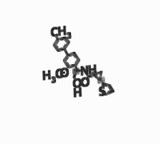 COc1cc(-c2ccc(C)cc2)ccc1[C@H](CO)NC(=O)[C@H]1C[C@@H]1c1cccs1